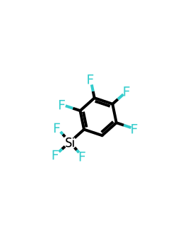 Fc1cc([Si](F)(F)F)c(F)c(F)c1F